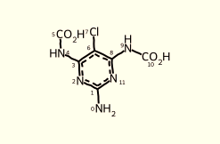 Nc1nc(NC(=O)O)c(Cl)c(NC(=O)O)n1